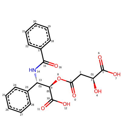 O=C(C[C@H](O)C(=O)O)O[C@@H](C(=O)O)[C@@H](NC(=O)c1ccccc1)c1ccccc1